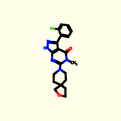 Cn1c(N2CCC3(CCOC3)CC2)nc2[nH]nc(-c3ccccc3F)c2c1=O